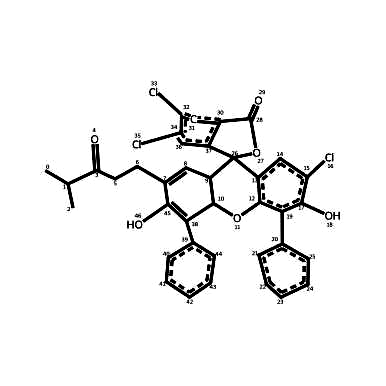 CC(C)C(=O)CCC1=CC2C(Oc3c(cc(Cl)c(O)c3-c3ccccc3)C23OC(=O)c2cc(Cl)c(Cl)cc23)C(c2ccccc2)=C1O